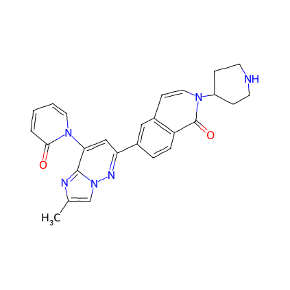 Cc1cn2nc(-c3ccc4c(=O)n(C5CCNCC5)ccc4c3)cc(-n3ccccc3=O)c2n1